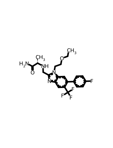 CCOCCn1c(CN[C@@H](C)C(N)=O)nc2cc(C(F)(F)F)c(-c3ccc(F)cc3)cc21